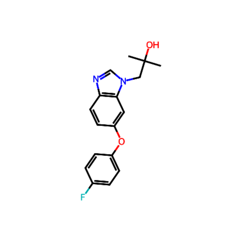 CC(C)(O)Cn1cnc2ccc(Oc3ccc(F)cc3)cc21